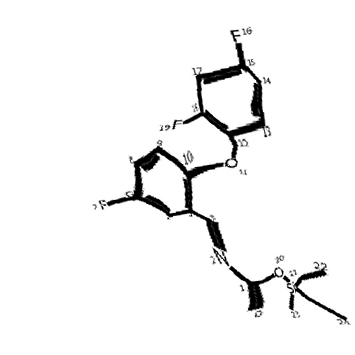 C=C(N=Cc1cc(F)ccc1Oc1ccc(F)cc1F)O[Si](C)(C)C